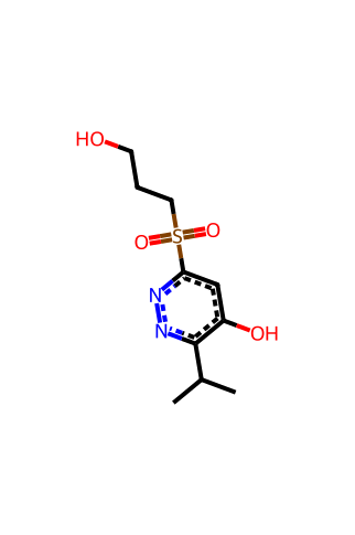 CC(C)c1nnc(S(=O)(=O)CCCO)cc1O